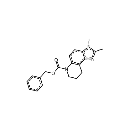 Cc1nc2c3c(ccc2n1C)N(C(=O)OCc1ccccc1)CCC3